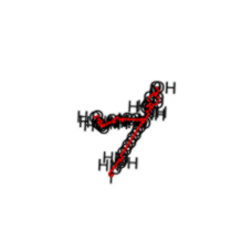 O=C(O)CC[C@H](NC(=O)N[C@@H](CCCCNC(=O)Nc1cccc(-c2cn(CCOCCOCCOCCC(=O)N[C@@H](CCCCNC(=S)Nc3cc(CN4CCOCCOCCN(Cc5cccc(C(=O)O)n5)CCOCCOCC4)nc(C(=O)O)c3)C(=O)NCCOCCOCCOCCOCCOCCOCCOCCOCCC(=O)N[C@@H](CCCCNC(=O)CCCc3ccc(I)cc3)C(=O)O)nn2)c1)C(=O)O)C(=O)O